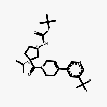 CC(C)[C@]1(C(=O)N2CC=C(c3cncc(C(F)(F)F)c3)CC2)CC[C@@H](NC(=O)OC(C)(C)C)C1